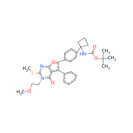 COCCn1c(SC)nc2oc(-c3ccc(C4(NC(=O)OC(C)(C)C)CCC4)cc3)c(-c3ccccc3)c2c1=O